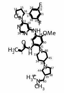 C=CC(=O)Nc1cc(Nc2cc(N3OCC[C@@H]3c3cc(F)cc(F)c3)ncn2)c(OC)cc1N1CCC(N2CC[C@@H](CN(C)C)C2)CC1